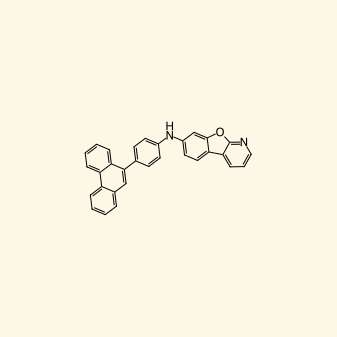 c1ccc2c(c1)cc(-c1ccc(Nc3ccc4c(c3)oc3ncccc34)cc1)c1ccccc12